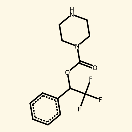 O=C(OC(c1ccccc1)C(F)(F)F)N1CCNCC1